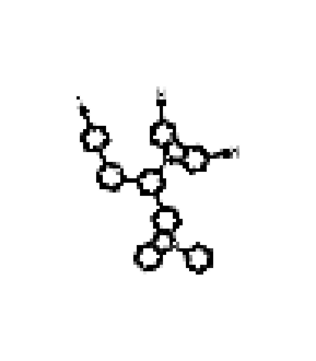 N#Cc1ccc(-c2cccc(-c3cc(-c4ccc5c(c4)c4ccccc4n5-c4ccccc4)cc(-n4c5ccc(C#N)cc5c5cc(C#N)ccc54)c3)c2)cc1